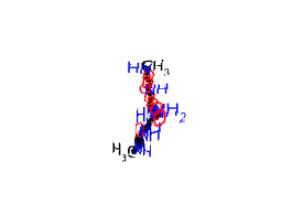 CCCNc1ccc(C(=O)NCCCC[C@H](NC(=O)COCCOCCNC(=O)COCCOCCNC)C(N)=O)cc1